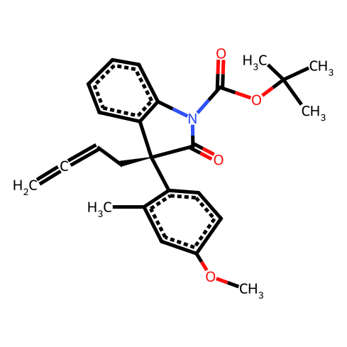 C=C=CC[C@]1(c2ccc(OC)cc2C)C(=O)N(C(=O)OC(C)(C)C)c2ccccc21